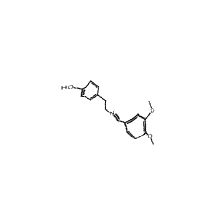 COc1ccc(C=NCCc2ccc(O)cc2)cc1OC